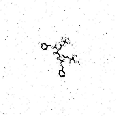 CC(C)(C)OC(=O)CN(C(=O)OCc1ccccc1)C(=O)[C@H](CCCNC(=N)N)NC(=O)OCc1ccccc1